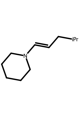 CC(C)C/C=C/N1CCCCC1